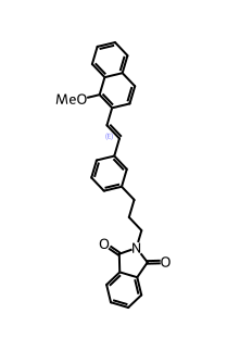 COc1c(/C=C/c2cccc(CCCN3C(=O)c4ccccc4C3=O)c2)ccc2ccccc12